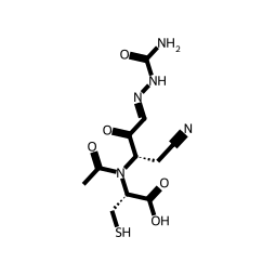 CC(=O)N([C@@H](CS)C(=O)O)[C@@H](CC#N)C(=O)C=NNC(N)=O